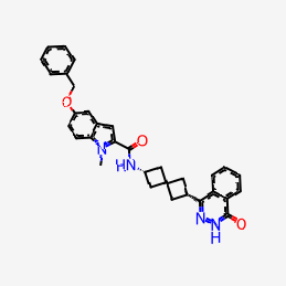 Cn1c(C(=O)N[C@H]2CC3(C2)C[C@H](c2n[nH]c(=O)c4ccccc42)C3)cc2cc(OCc3ccccc3)ccc21